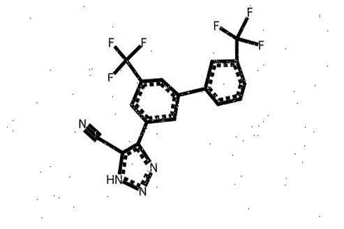 N#Cc1[nH]nnc1-c1cc(-c2cccc(C(F)(F)F)c2)cc(C(F)(F)F)c1